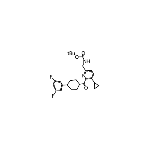 CC(C)(C)OC(=O)NCc1ccc(C2CC2)c(C(=O)C2CCC(c3cc(F)cc(F)c3)CC2)n1